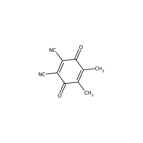 CC1=C(C)C(=O)C(C#N)=C(C#N)C1=O